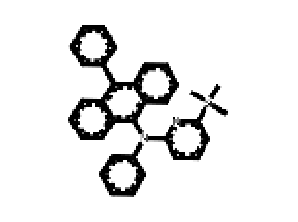 C[Si](C)(C)c1cccc(N(c2ccccc2)c2c3ccccc3c(-c3ccccc3)c3ccccc23)n1